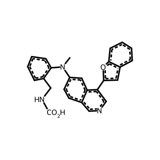 CN(c1ccc2cncc(-c3cc4ccccc4o3)c2c1)c1ccccc1CNC(=O)O